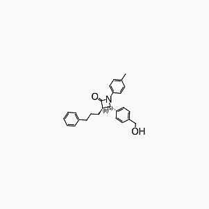 Cc1ccc(N2C(=O)[C@H](CCCc3ccccc3)[C@H]2c2ccc(CO)cc2)cc1